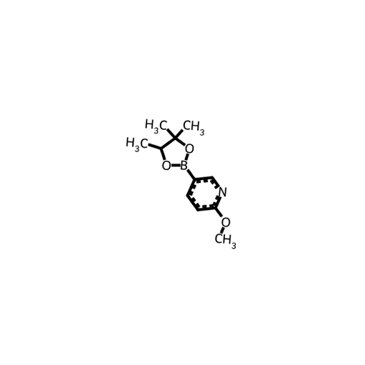 COc1ccc(B2OC(C)C(C)(C)O2)cn1